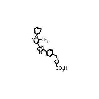 O=C(O)C1CN(Cc2ccc(-c3noc(-c4cnn(-c5ccccc5)c4C(F)(F)F)n3)cc2)C1